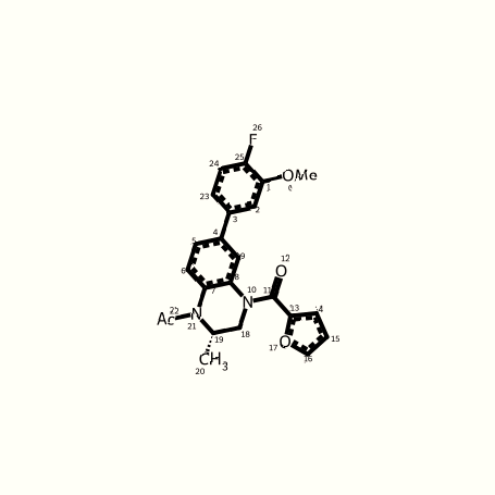 COc1cc(-c2ccc3c(c2)N(C(=O)c2ccco2)C[C@H](C)N3C(C)=O)ccc1F